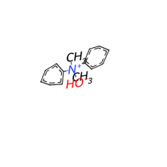 C[N+](C)(c1ccccc1)c1ccccc1.[OH-]